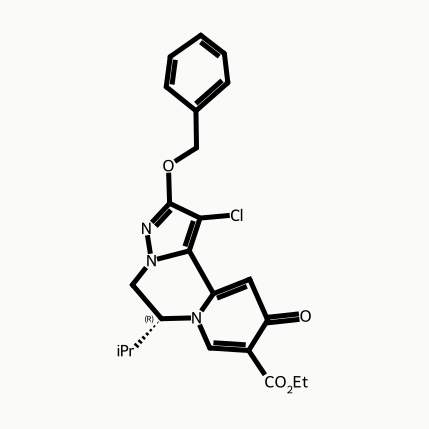 CCOC(=O)c1cn2c(cc1=O)-c1c(Cl)c(OCc3ccccc3)nn1C[C@H]2C(C)C